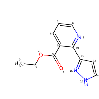 CCOC(=O)c1cccnc1-c1cc[nH]n1